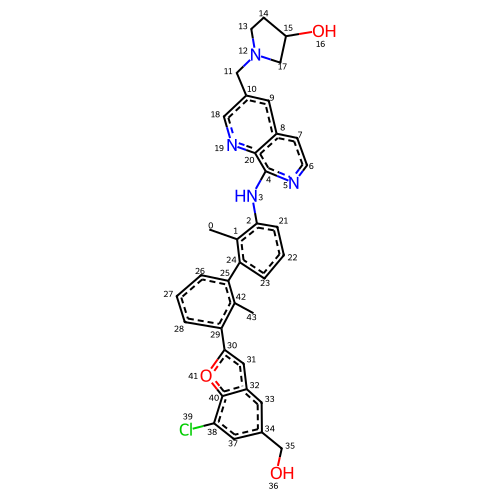 Cc1c(Nc2nccc3cc(CN4CCC(O)C4)cnc23)cccc1-c1cccc(-c2cc3cc(CO)cc(Cl)c3o2)c1C